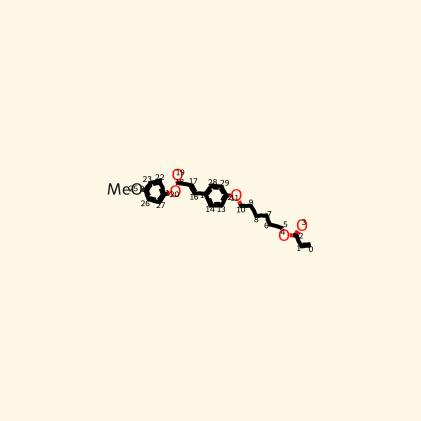 C=CC(=O)OCCCCCCOc1ccc(C=CC(=O)Oc2ccc(OC)cc2)cc1